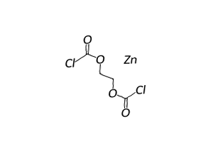 O=C(Cl)OCCOC(=O)Cl.[Zn]